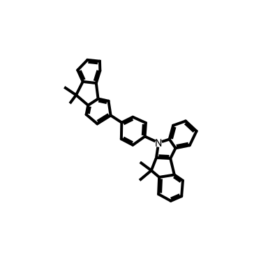 CC1(C)c2ccccc2-c2cc(-c3ccc(-n4c5c(c6ccccc64)-c4ccccc4C5(C)C)cc3)ccc21